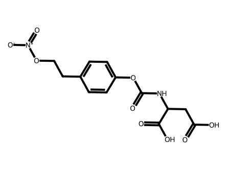 O=C(O)CC(NC(=O)Oc1ccc(CCO[N+](=O)[O-])cc1)C(=O)O